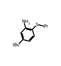 CC(C)Sc1ccc(C(C)(C)C)cc1N